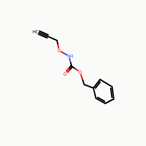 C#CCONC(=O)OCc1ccccc1